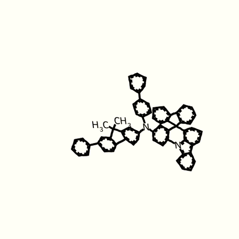 CC1(C)c2cc(-c3ccccc3)ccc2-c2ccc(N(c3ccc(-c4ccccc4)cc3)c3ccc4c(c3)C3(c5ccccc5-c5ccccc53)c3cccc5c6ccccc6n-4c35)cc21